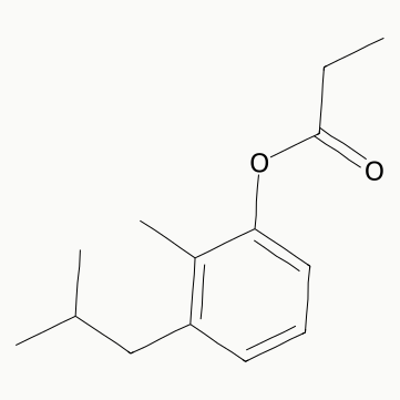 CCC(=O)Oc1cccc(CC(C)C)c1C